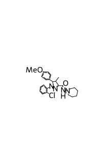 COc1ccc(C2C(C)C(C(=O)NN3CCCCCC3)=NN2c2ccccc2Cl)cc1